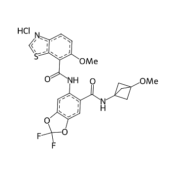 COc1ccc2ncsc2c1C(=O)Nc1cc2c(cc1C(=O)NC13CC(OC)(C1)C3)OC(F)(F)O2.Cl